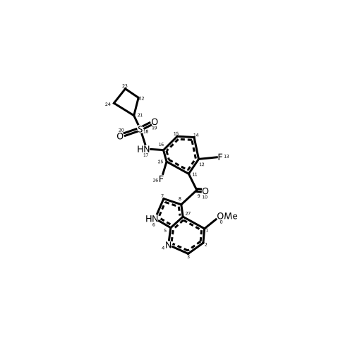 COc1ccnc2[nH]cc(C(=O)c3c(F)ccc(NS(=O)(=O)C4CCC4)c3F)c12